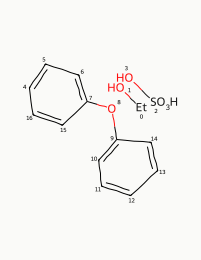 CCO.O=S(=O)(O)O.c1ccc(Oc2ccccc2)cc1